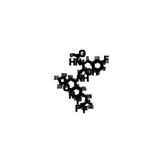 CC(=O)N[C@@H](Cc1cccc(F)c1)[C@@H](O)CN[C@H]1CC2(CCC2)Oc2ncc(C[C@@H](C)C(F)(F)F)cc21